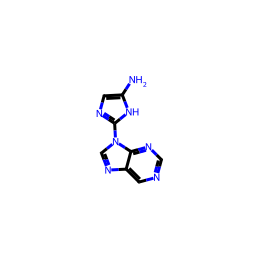 Nc1cnc(-n2cnc3cncnc32)[nH]1